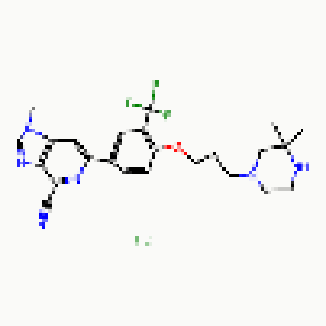 Cl.Cn1cnc2c(C#N)nc(-c3ccc(OCCCN4CCNC(C)(C)C4)c(C(F)(F)F)c3)cc21